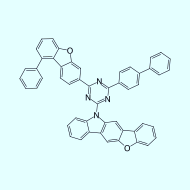 c1ccc(-c2ccc(-c3nc(-c4ccc5c(c4)oc4cccc(-c6ccccc6)c45)nc(-n4c5ccccc5c5cc6oc7ccccc7c6cc54)n3)cc2)cc1